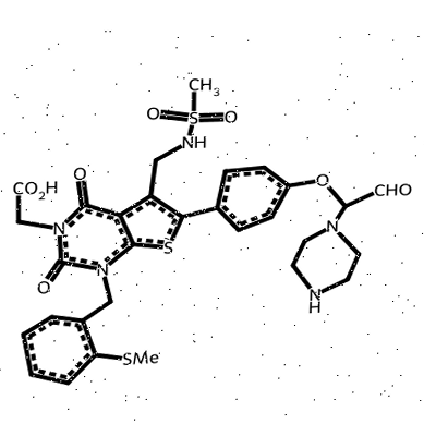 CSc1ccccc1Cn1c(=O)n(CC(=O)O)c(=O)c2c(CNS(C)(=O)=O)c(-c3ccc(OC(C=O)N4CCNCC4)cc3)sc21